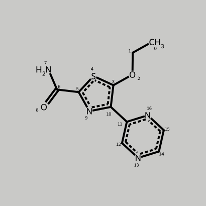 CCOc1sc(C(N)=O)nc1-c1cnccn1